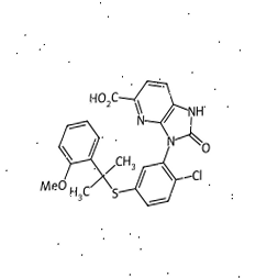 COc1ccccc1C(C)(C)Sc1ccc(Cl)c(-n2c(=O)[nH]c3ccc(C(=O)O)nc32)c1